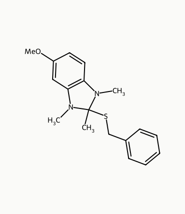 COc1ccc2c(c1)N(C)C(C)(SCc1ccccc1)N2C